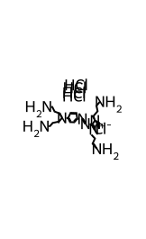 Cl.Cl.Cl.Cl.NCCCN(CCCN)c1ccc(/N=N/c2n(CCCN)cc[n+]2CCCN)cc1.[Cl-]